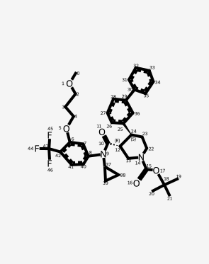 COCCCOc1cc(N(C(=O)[C@H]2CN(C(=O)OC(C)(C)C)CC[C@@H]2c2cccc(-c3ccccc3)c2)C2CC2)ccc1C(F)(F)F